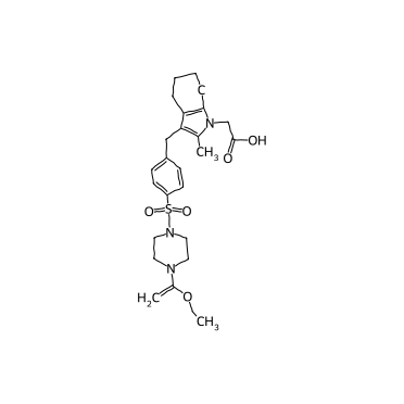 C=C(OCC)N1CCN(S(=O)(=O)c2ccc(Cc3c4c(n(CC(=O)O)c3C)CCCC4)cc2)CC1